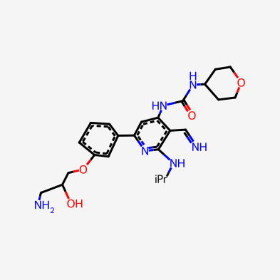 CC(C)Nc1nc(-c2cccc(OCC(O)CN)c2)cc(NC(=O)NC2CCOCC2)c1C=N